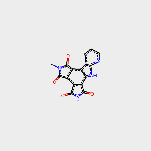 Cn1c(=O)c2c3c(=O)[nH]c(=O)c3c3[nH]c4ncccc4c3c2c1=O